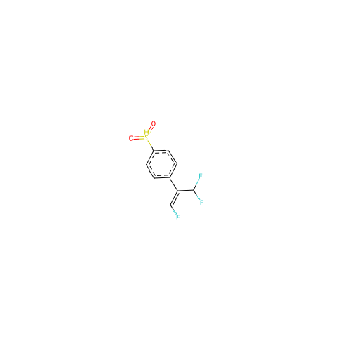 O=[SH](=O)c1ccc(C(=CF)C(F)F)cc1